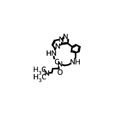 CN(C)CCC(=O)N1CCNCc2cccc(c2)-c2cnn3ccc(nc23)NCC1